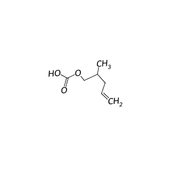 C=CCC(C)COC(=O)O